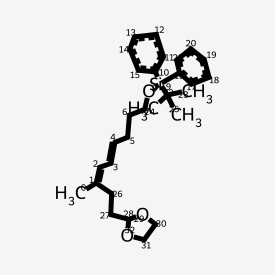 CC(=CC=CCCCO[Si](c1ccccc1)(c1ccccc1)C(C)(C)C)CCC1OCCO1